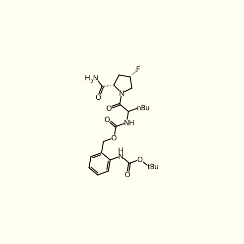 CCCCC(NC(=O)OCc1ccccc1NC(=O)OC(C)(C)C)C(=O)N1C[C@@H](F)C[C@H]1C(N)=O